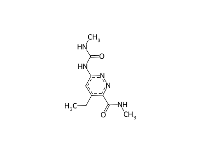 CCc1cc(NC(=O)NC)nnc1C(=O)NC